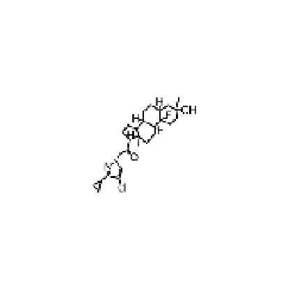 C[C@@]1(O)CC[C@@]2(F)[C@H](CC[C@H]3[C@@H]4CC[C@H](C(=O)Cn5cc(Cl)c(C6CC6)n5)[C@@]4(C)CC[C@@H]32)C1